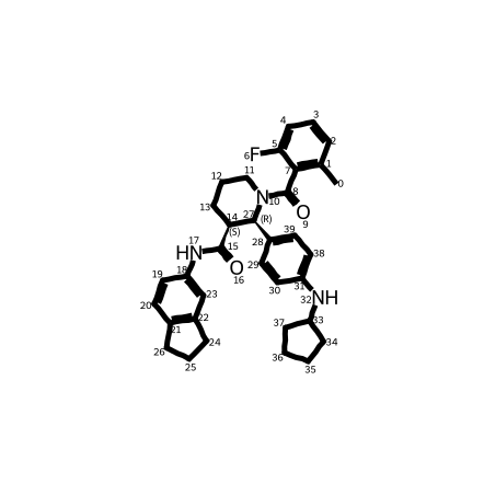 Cc1cccc(F)c1C(=O)N1CCC[C@H](C(=O)Nc2ccc3c(c2)CCC3)[C@@H]1c1ccc(NC2CCCC2)cc1